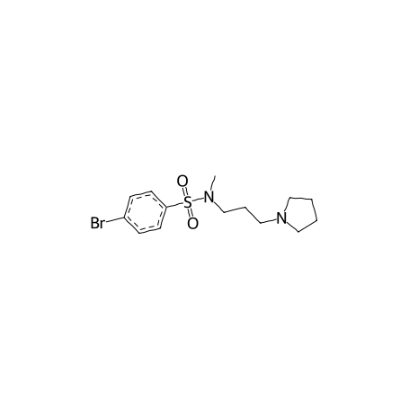 CN(CCCN1CCCC1)S(=O)(=O)c1ccc(Br)cc1